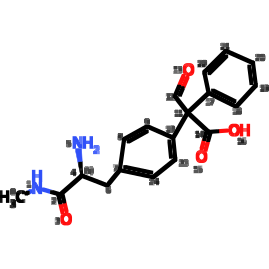 CNC(=O)[C@@H](N)Cc1ccc(C(C=O)(C(=O)O)c2ccccc2)cc1